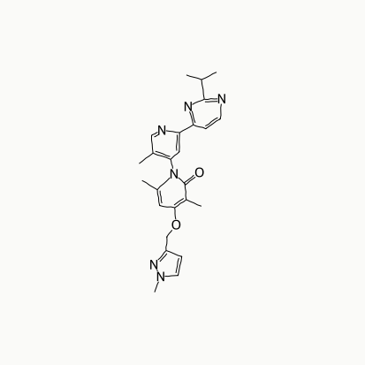 Cc1cnc(-c2ccnc(C(C)C)n2)cc1-n1c(C)cc(OCc2ccn(C)n2)c(C)c1=O